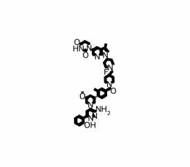 CO[C@@H]1C[C@H](c2ccc(C(=O)N3CCC(F)(CN4CCC(n5cc(C)c6cc(N7CCC(=O)NC7=O)cnc65)CC4)CC3)cc2C)CN(c2cc(-c3ccccc3O)nnc2N)C1